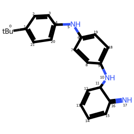 CC(C)(C)c1ccc(Nc2ccc(NC3C=CC=CC3=N)cc2)cc1